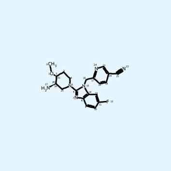 CO[C@H]1CCN(c2nc3ccc(F)cc3n2Cc2ccc(C#N)cn2)C[C@H]1N